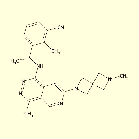 Cc1c(C#N)cccc1[C@@H](C)Nc1nnc(C)c2cnc(N3CC4(CN(C)C4)C3)cc12